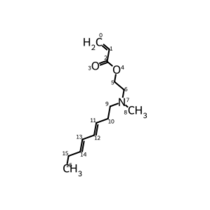 C=CC(=O)OCCN(C)CCC=CC=CCC